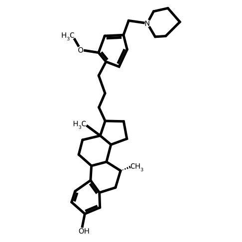 COc1cc(CN2CCCCC2)ccc1CCCC1CCC2C3C(CCC12C)c1ccc(O)cc1C[C@H]3C